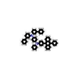 c1ccc(-c2cccc(N(c3ccc(N(c4ccccc4)c4ccc(-c5c6ccccc6c(-c6ccccc6)c6ccccc56)cc4)cc3)c3cccc(-c4ccccc4)c3)c2)cc1